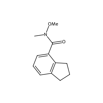 CON(C)C(=O)c1cccc2c1CCC2